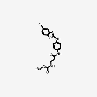 CC(C)(C)OC(=O)NCCC(=O)Nc1ccc(Nc2nc3cc(Cl)ccc3o2)cc1